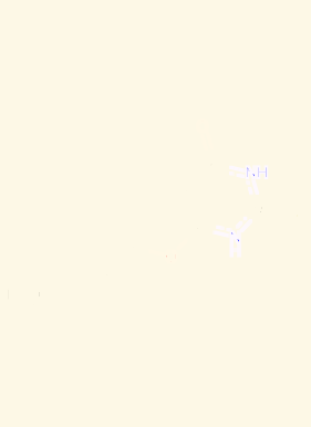 O=C(O)c1ccc2c(c1)Oc1[nH]c(=S)[nH]c(=O)c1C2